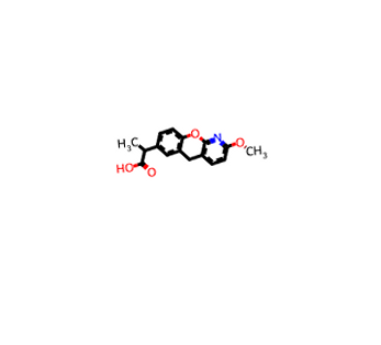 COc1ccc2c(n1)Oc1ccc(C(C)C(=O)O)cc1C2